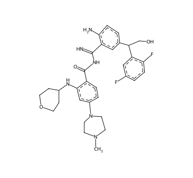 CN1CCN(c2ccc(C(=O)NC(=N)c3cc(C(CO)c4cc(F)ccc4F)ccc3N)c(NC3CCOCC3)c2)CC1